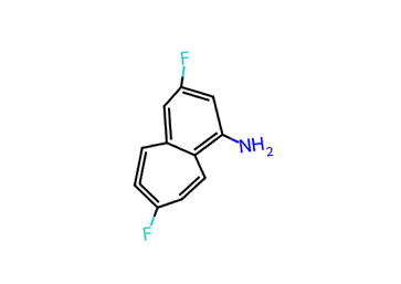 Nc1cc(F)cc2c1C=CC(F)=C=C2